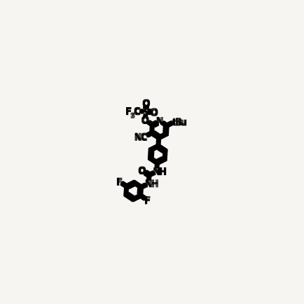 CC(C)(C)c1cc(-c2ccc(NC(=O)Nc3cc(F)ccc3F)cc2)c(C#N)c(OS(=O)(=O)C(F)(F)F)n1